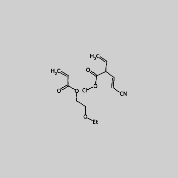 C=CC(=O)OCCOCC.C=CC(C=CC#N)C(=O)OCl